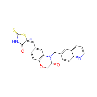 O=C1NC(=S)S/C1=C/c1ccc2c(c1)N(Cc1ccc3ncccc3c1)C(=O)CO2